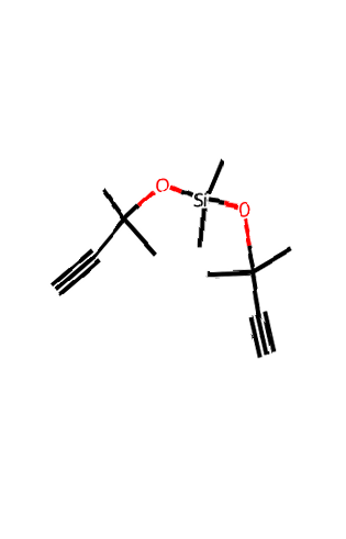 C#CC(C)(C)O[Si](C)(C)OC(C)(C)C#C